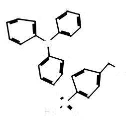 CS(=O)(=O)c1ccc(CCl)cc1.c1ccc(P(c2ccccc2)c2ccccc2)cc1